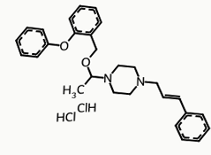 CC(OCc1ccccc1Oc1ccccc1)N1CCN(CC=Cc2ccccc2)CC1.Cl.Cl